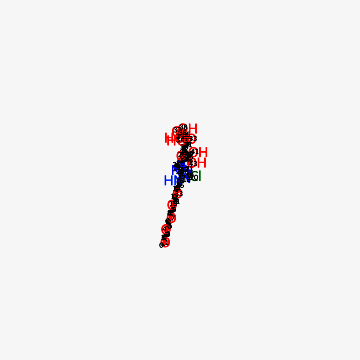 COCCOCCOCCOCCOCCNc1nc(Cl)nc2c1ncn2C1OC(CCP(=O)(O)CP(=O)(O)O)C(O)C1O